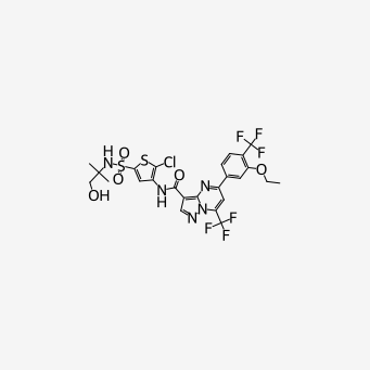 CCOc1cc(-c2cc(C(F)(F)F)n3ncc(C(=O)Nc4cc(S(=O)(=O)NC(C)(C)CO)sc4Cl)c3n2)ccc1C(F)(F)F